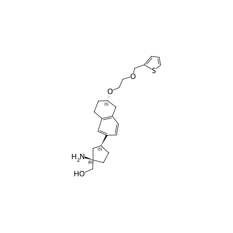 N[C@]1(CO)CC[C@H](c2ccc3c(c2)CC[C@H](OCCOCc2cccs2)C3)C1